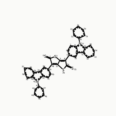 S=C1SC2=C(c3ccc4c(c3)c3ccccc3n4-c3ccccc3)C(=S)SC2=C1c1ccc2c(c1)c1ccccc1n2-c1ccccc1